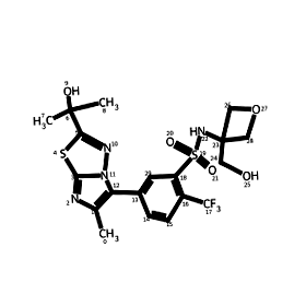 Cc1nc2sc(C(C)(C)O)nn2c1-c1ccc(C(F)(F)F)c(S(=O)(=O)NC2(CO)COC2)c1